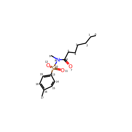 CCCCCCC(=O)N(C)S(=O)(=O)c1ccc(C)cc1